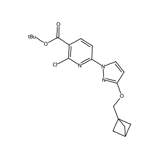 CC(C)(C)OC(=O)c1ccc(-n2ccc(OCC34CC(C3)C4)n2)nc1Cl